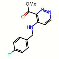 COC(=O)c1nnccc1NCc1ccc(F)cc1